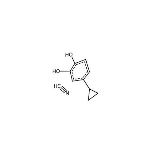 C#N.Oc1ccc(C2CC2)cc1O